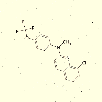 CN(c1ccc(OC(F)(F)F)cc1)c1ccc2cccc(Cl)c2n1